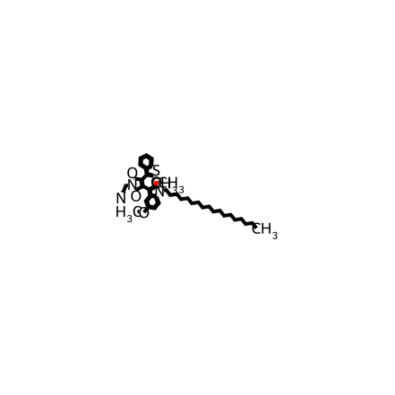 CCCCCCCCCCCCCCCCCCn1c(C)c(C2=C(c3c(OC)sc4ccccc34)C(=O)N(CC#N)C2=O)c2cc(OC)ccc21